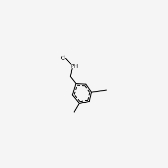 Cc1cc(C)cc(CPCl)c1